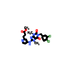 COC(=O)CCc1cc(Nc2nc3c(c(=O)n(Cc4ccc(Cl)c(Cl)c4)c(=O)n3C)n2C)ccn1